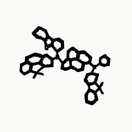 CC1(C)c2ccccc2-c2ccc(N(c3ccccc3)c3ccc4ccc5c(N(c6cc7c8c(ccc9cccc(c98)C7(C)C)c6)c6cccc7c6oc6ccccc67)ccc6ccc3c4c65)cc21